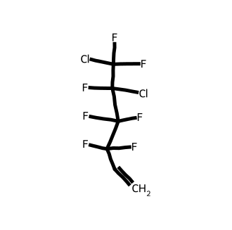 C=CC(F)(F)C(F)(F)C(F)(Cl)C(F)(F)Cl